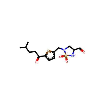 CC(C)CCC(=O)c1ccc(CN2CC(C=O)NS2(=O)=O)s1